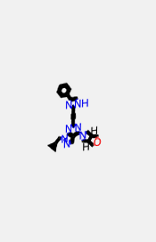 C(#Cc1nc(-c2ccccc2)c[nH]1)c1nc(N2C[C@H]3COC[C@H]3C2)c2cnn(CC3CC3)c2n1